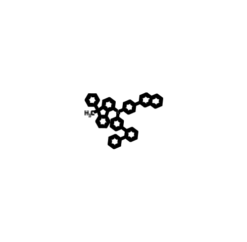 CC1(c2ccccc2)c2ccccc2-c2c(N(c3ccc(-c4ccc5ccccc5c4)cc3)c3cccc(-c4ccccc4-c4ccccc4)c3)cccc21